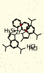 CC1=Cc2c(C(C)C)cc(C(C)C)cc2[CH]1[Zr](=[SiH2])([c]1ccccc1)([c]1ccccc1)[CH]1C(C)=Cc2c(C(C)C)cc(C(C)C)cc21.Cl.Cl